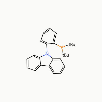 CC(C)(C)P(c1ccccc1-n1c2ccccc2c2ccccc21)C(C)(C)C